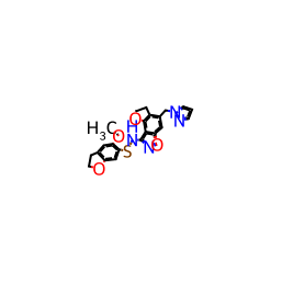 COc1cc2c(cc1SNc1noc3cc(Cn4cccn4)c4c(c13)OCC4)OCC2